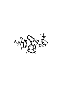 CC1(F)C=C(F)C=C(C[C@H](NC(=O)Cn2nc(C(F)(F)F)c3c2C(C)(O)CCC3)c2ncccc2-c2ccc(F)c(C(N)=O)c2)C1